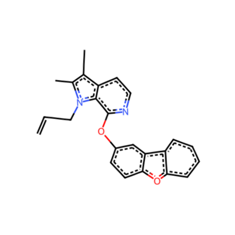 C=CCn1c(C)c(C)c2ccnc(Oc3ccc4oc5ccccc5c4c3)c21